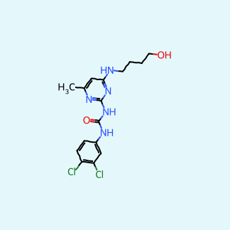 Cc1cc(NCCCCO)nc(NC(=O)Nc2ccc(Cl)c(Cl)c2)n1